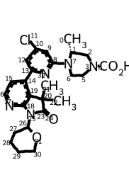 C[C@@H]1CN(C(=O)O)CCN1c1cc(Cl)cc(-c2ccnc3c2C(C)(C)C(=O)N3C2CCCCO2)n1